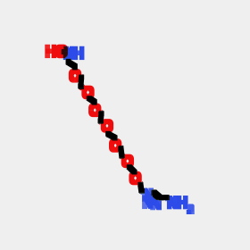 NCc1cn(CCOCCOCCOCCOCCOCCOCCOCCNO)nn1